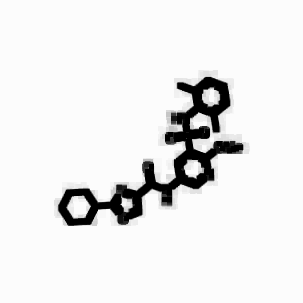 COc1ncc(NC(=O)c2coc(C3CCCCC3)n2)cc1S(=O)(=O)Nc1c(C)cccc1C